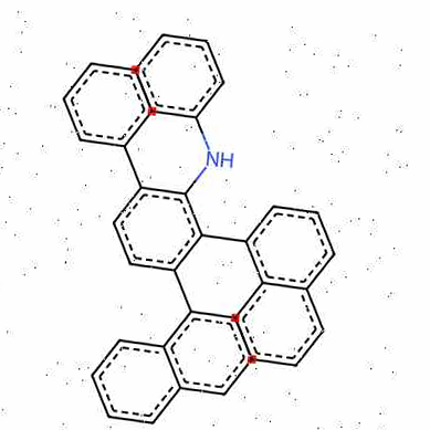 c1ccc(Nc2c(-c3ccccc3)ccc(-c3cccc4ccccc34)c2-c2cccc3ccccc23)cc1